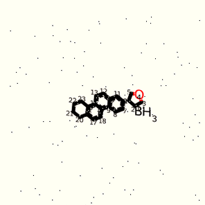 B.C1CCOC1.c1ccc2c(c1)ccc1c3c(ccc12)CCCC3